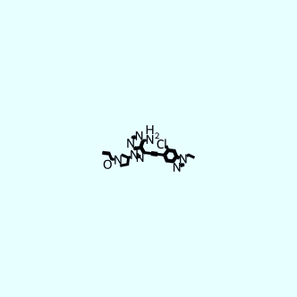 C=CC(=O)N1CCC(n2nc(C#Cc3cc4ncn(CC)c4cc3Cl)c3c(N)ncnc32)C1